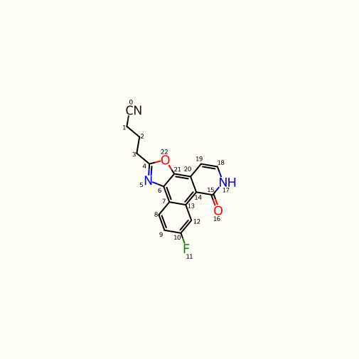 N#CCCCc1nc2c3ccc(F)cc3c3c(=O)[nH]ccc3c2o1